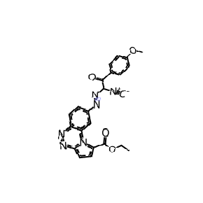 [C-]#[N+]C(/N=N/c1ccc2nnc3ccc(C(=O)OCC)n3c2c1)C(=O)c1ccc(OC)cc1